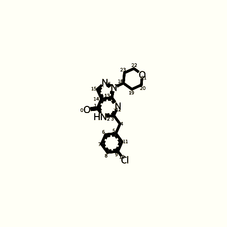 O=c1[nH]c(Cc2cccc(Cl)c2)nc2c1cnn2C1CCOCC1